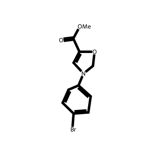 COC(=O)C1=CN(c2ccc(Br)cc2)CO1